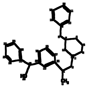 CC(CN1CCCC(Cc2ccccc2)C1)c1cccc(C(O)c2ccccc2)c1